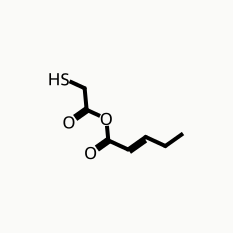 CCC=CC(=O)OC(=O)CS